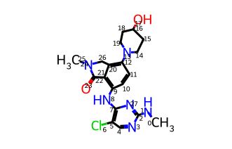 CNc1ncc(Cl)c(Nc2ccc(N3CCC(O)CC3)c3c2C(=O)N(C)C3)n1